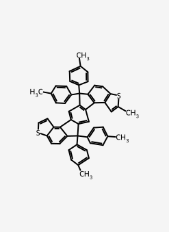 Cc1ccc(C2(c3ccc(C)cc3)c3cc4c(cc3-c3c2ccc2sccc32)C(c2ccc(C)cc2)(c2ccc(C)cc2)c2ccc3sc(C)cc3c2-4)cc1